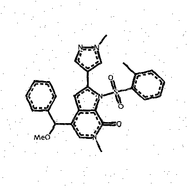 COC(c1ccccc1)c1cn(C)c(=O)c2c1cc(-c1cnn(C)c1)n2S(=O)(=O)c1ccccc1C